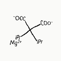 CC(C)C(C(=O)[O-])(C(=O)[O-])C(C)C.[Mg+2]